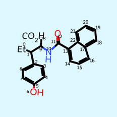 CCC(c1ccc(O)cc1)C(NC(=O)c1cccc2ccccc12)C(=O)O